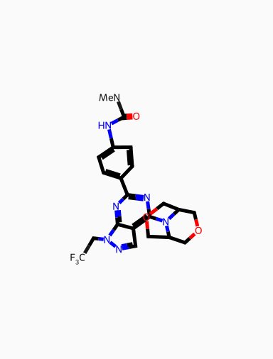 CNC(=O)Nc1ccc(-c2nc(N3C4COCC3COC4)c3cnn(CC(F)(F)F)c3n2)cc1